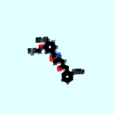 COc1ccccc1CC(=O)Cc1coc(-c2ccc(OC)c(OCC(F)(F)F)c2)n1